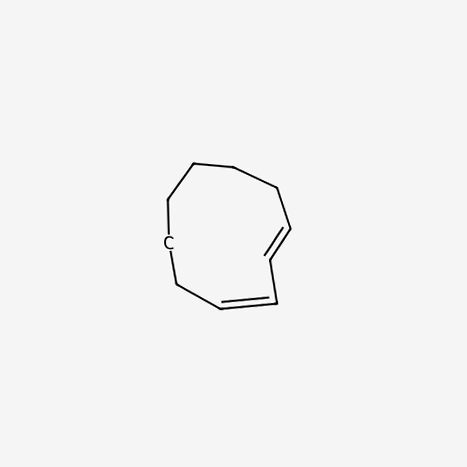 C1=C\CCCCCC/C=C/1